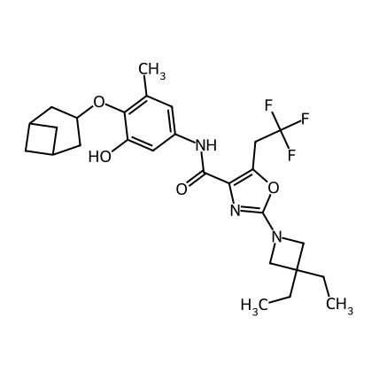 CCC1(CC)CN(c2nc(C(=O)Nc3cc(C)c(OC4CC5CC(C5)C4)c(O)c3)c(CC(F)(F)F)o2)C1